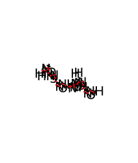 CC(C)n1nc(C(C)(C)C)cc1NC(=O)Nc1ncc(CCc2ccnc(NC(=O)CCC(C)(C)c3cc(NC(=O)Nc4ncc(CCc5ccnc(NC(=O)C6CC6)c5)s4)[nH]n3)c2)s1